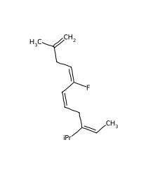 C=C(C)C/C=C(F)\C=C/C/C(=C\C)C(C)C